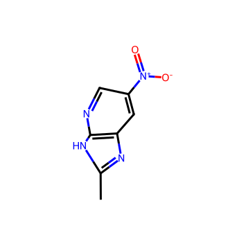 Cc1nc2cc([N+](=O)[O-])cnc2[nH]1